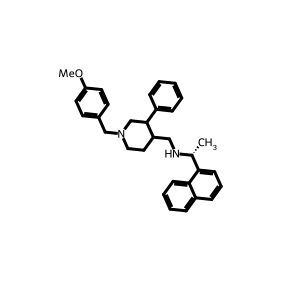 COc1ccc(CN2CCC(CN[C@H](C)c3cccc4ccccc34)C(c3ccccc3)C2)cc1